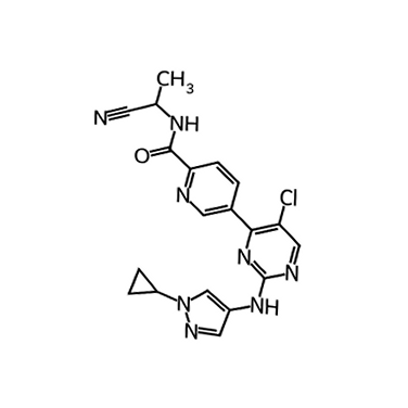 CC(C#N)NC(=O)c1ccc(-c2nc(Nc3cnn(C4CC4)c3)ncc2Cl)cn1